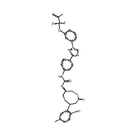 C=C(C)C(F)(F)Oc1cccc(-n2cnc(-c3ccc(NC(=O)/N=C4/CCC(c5cc(C)ccc5C(C)C)CC(=O)CS4)cc3)n2)c1